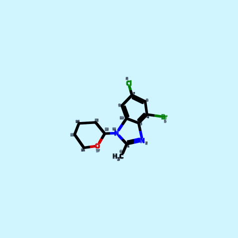 Cc1nc2c(Br)cc(Cl)cc2n1C1CCCCO1